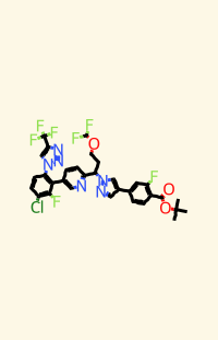 CC(C)(C)OC(=O)c1ccc(-c2cnn(C(CCOC(F)F)c3ccc(-c4c(-n5cc(C(F)(F)F)nn5)ccc(Cl)c4F)cn3)c2)cc1F